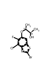 C[C@H](Oc1cc2sc(Br)nc2c(Cl)c1F)[C@@H](C)O